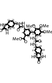 COC(=O)c1cc(NC(=O)Nc2ccc3[nH]c(=O)[nH]c3c2)cc(-c2c(NC(=O)Nc3ccc4[nH]c(=O)[nH]c4c3)cc(OC)c(OC)c2OC)c1